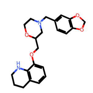 c1cc2c(c(OCC3CN(Cc4ccc5c(c4)OCO5)CCO3)c1)NCCC2